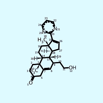 C[C@]12CCC(=O)CC1=CC(CCO)[C@@H]1[C@H]2CC[C@]2(C)C(c3ncccn3)=CC[C@@H]12